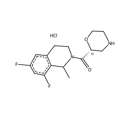 CC1c2c(F)cc(F)cc2CCN1C(=O)[C@H]1CNCCO1.Cl